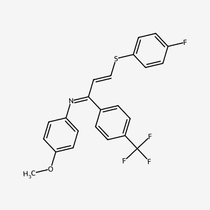 COc1ccc(/N=C(/C=C/Sc2ccc(F)cc2)c2ccc(C(F)(F)F)cc2)cc1